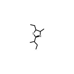 CCC(C)C1=NC(C)C(CC)S1